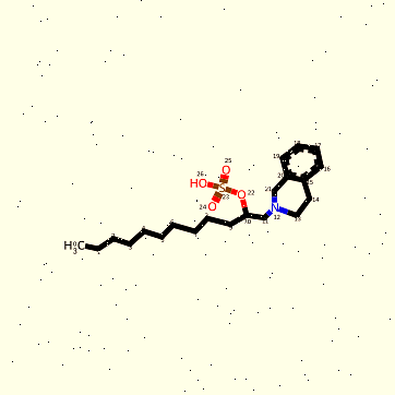 CCCCCCCCCCC(CN1CCc2ccccc2C1)OS(=O)(=O)O